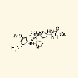 CCOC(=O)CCc1c(CNc2ncccc2C(=O)Nc2ccc(C(=N)NC(=O)OC(C)(C)C)cc2)cc(CN)cc1OC(C)C